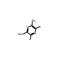 COc1nc(N)c(C)nc1C